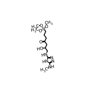 CNc1nnc(NCC(O)CC(=O)CCC[Si](OC)(OC)OC)[nH]1